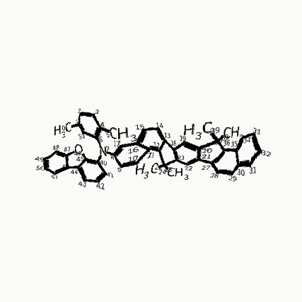 Cc1ccc(C)c(N(c2ccc3c4c(ccc3c2)-c2cc3c(cc2C4(C)C)-c2ccc4ccccc4c2C3(C)C)c2cccc3c2oc2ccccc23)c1